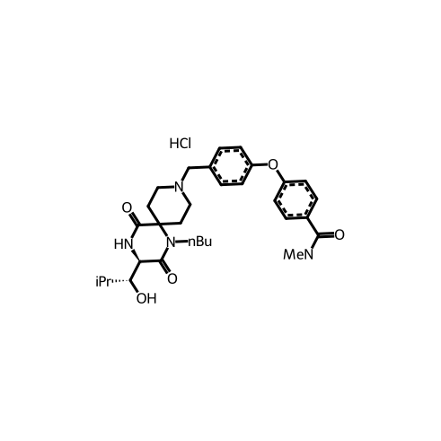 CCCCN1C(=O)[C@@H]([C@H](O)C(C)C)NC(=O)C12CCN(Cc1ccc(Oc3ccc(C(=O)NC)cc3)cc1)CC2.Cl